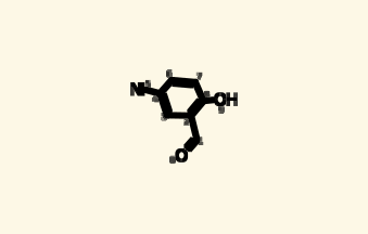 O=Cc1c[c]([Ni])ccc1O